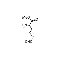 COC(=O)C(N)CCOC=O